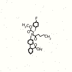 CCCCC(=O)N(Cc1ccc(-c2ccccc2C(=O)O)cc1)[C@@H](Cc1ccc(F)cc1)C(=O)OC